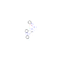 CC1=C(C(=O)Nc2cccc(F)c2)C(c2ccccc2Cl)N=C(Nc2nc3ccccc3o2)N1